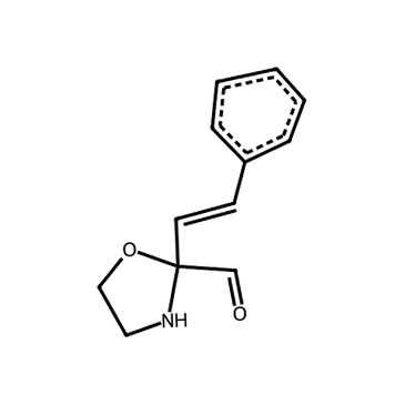 O=CC1(C=Cc2ccccc2)NCCO1